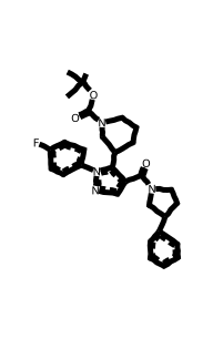 CC(C)(C)OC(=O)N1CCCC(c2c(C(=O)N3CCC(c4ccccc4)C3)cnn2-c2ccc(F)cc2)C1